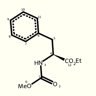 [CH2]OC(=O)N[C@@H](Cc1ccccc1)C(=O)OCC